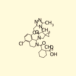 Cc1nnc(COc2ccc(Cl)c3c2C(N2CC4(CC4)CC2=O)N(C(=O)C2CCCC[C@]2(C)C(=O)O)CC3)n1C